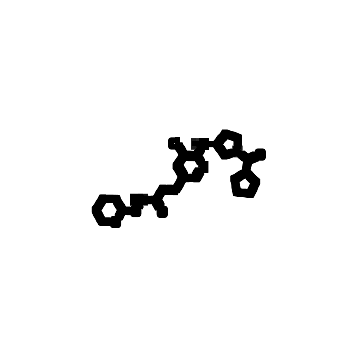 O=C(/C=C/c1cnc(N[C@@H]2CCN(C(=O)C3CCCC3)C2)c(Cl)c1)NOC1CCCCO1